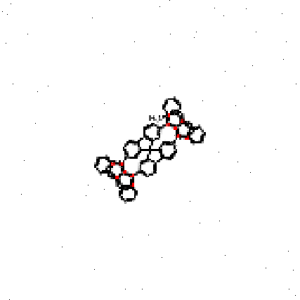 CC12C=CC=CC1c1ccccc1N2c1ccc2c(c1)C1(c3cc(-n4c5ccccc5c5ccccc54)ccc3-2)c2cc(-n3c4ccccc4c4ccccc43)ccc2-c2ccc(-n3c4ccccc4c4ccccc43)cc21